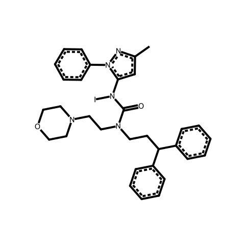 Cc1cc(N(I)C(=O)N(CCC(c2ccccc2)c2ccccc2)CCN2CCOCC2)n(-c2ccccc2)n1